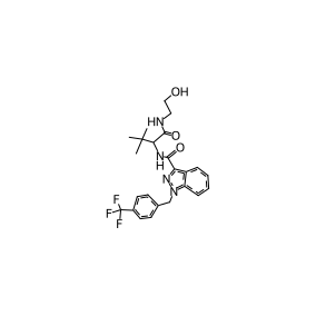 CC(C)(C)C(NC(=O)c1nn(Cc2ccc(C(F)(F)F)cc2)c2ccccc12)C(=O)NCCO